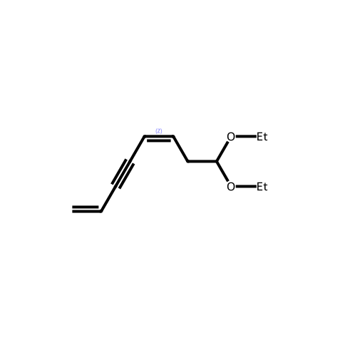 C=CC#C/C=C\CC(OCC)OCC